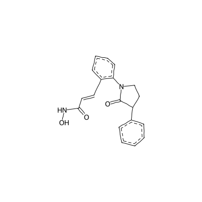 O=C(/C=C/c1ccccc1N1CCC(c2ccccc2)C1=O)NO